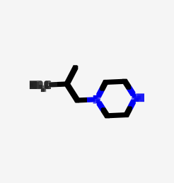 CC(CN1CCNCC1)C(=O)O